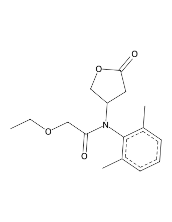 CCOCC(=O)N(c1c(C)cccc1C)C1COC(=O)C1